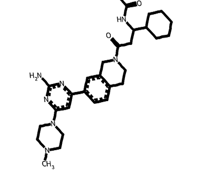 CN1CCN(c2cc(-c3ccc4c(c3)CN(C(=O)CC(NC(=O)O)C3CCCCC3)CC4)nc(N)n2)CC1